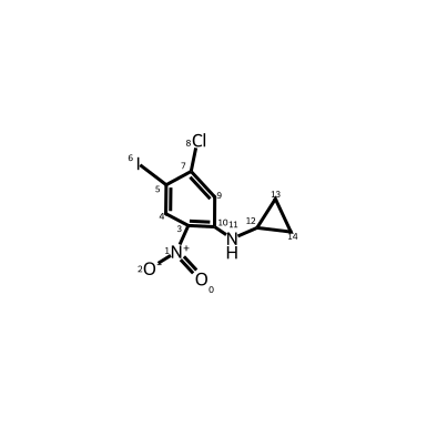 O=[N+]([O-])c1cc(I)c(Cl)cc1NC1CC1